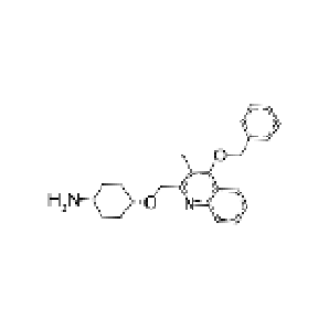 Cc1c(CO[C@H]2CC[C@H](N)CC2)nc2ccccc2c1OCc1ccccc1